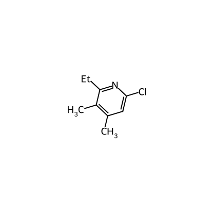 CCc1nc(Cl)cc(C)c1C